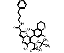 Cc1nc2cc(C(=O)NCCCc3ccccc3)nn2c(-c2cc(F)c3c(c2C)CCCO3)c1[C@H](OC(C)(C)C)C(=O)O